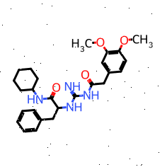 COc1ccc(CC(=O)NC(=N)NC(Cc2ccccc2)C(=O)NC2CCCCC2)cc1OC